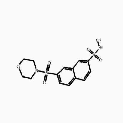 O=S(=O)(NO)c1ccc2ccc(S(=O)(=O)N3CCOCC3)cc2c1